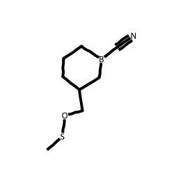 CSOCC1CCCB(C#N)C1